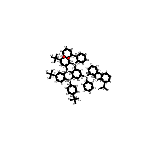 CC(C)c1cccc2c1oc1c(N(c3ccccc3)c3cc4c5c(c3)N(c3ccccc3-c3ccccc3)c3ccc(C(C)(C)C)cc3B5c3cc(C(C)(C)C)ccc3N4c3ccc(C(C)(C)C)cc3)cccc12